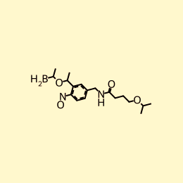 BC(C)OC(C)c1cc(CNC(=O)CCCOC(C)C)ccc1N=O